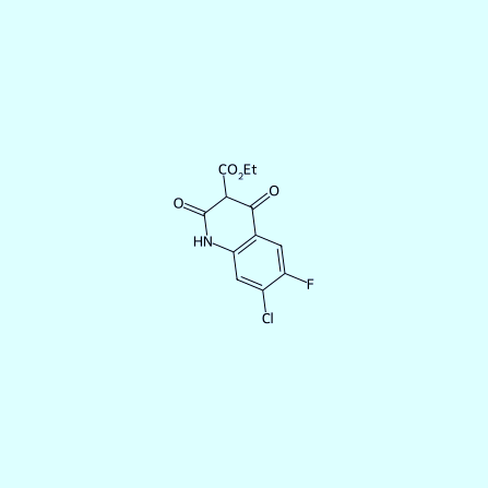 CCOC(=O)C1C(=O)Nc2cc(Cl)c(F)cc2C1=O